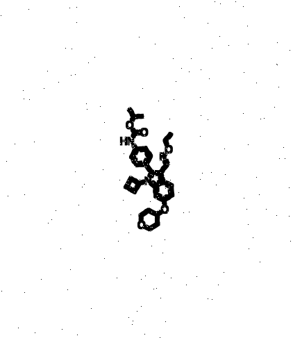 CCON=Cc1c(-c2ccc(NC(=O)OC(C)C)cc2)n(C2CCC2)c2cc(OC3CCOCC3)ccc12